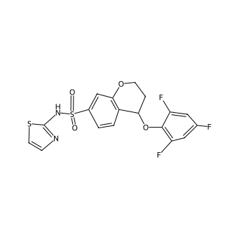 O=S(=O)(Nc1nccs1)c1ccc2c(c1)OCCC2Oc1c(F)cc(F)cc1F